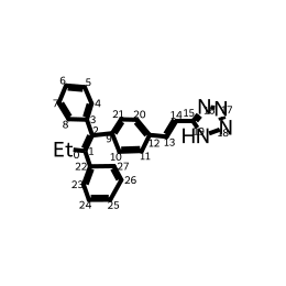 CC/C(=C(\c1ccccc1)c1ccc(/C=C/c2nnn[nH]2)cc1)c1ccccc1